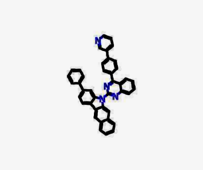 c1ccc(-c2ccc3c4cc5ccccc5cc4n(-c4nc(-c5ccc(-c6cccnc6)cc5)c5ccccc5n4)c3c2)cc1